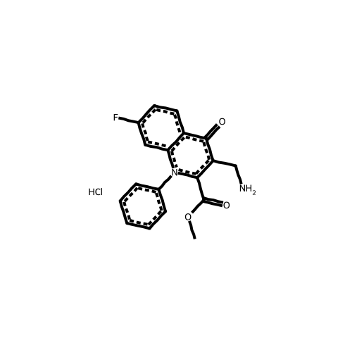 COC(=O)c1c(CN)c(=O)c2ccc(F)cc2n1-c1ccccc1.Cl